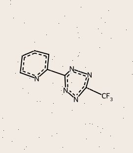 FC(F)(F)c1nnc(-c2ccccn2)nn1